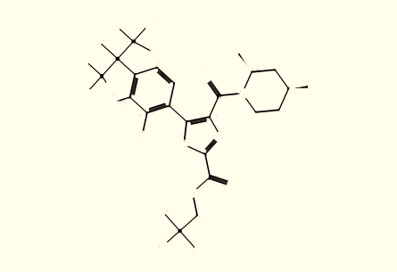 C[C@H]1C[C@@H](F)CCN1C(=O)c1nc(C(=O)NCC(C)(C)O)sc1-c1ccc(C(C)(C(F)(F)F)C(F)(F)F)c(Cl)c1Cl